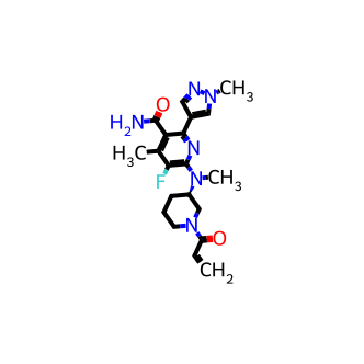 C=CC(=O)N1CCC[C@@H](N(C)c2nc(-c3cnn(C)c3)c(C(N)=O)c(C)c2F)C1